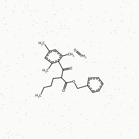 CCCCC(C(=O)OCc1ccccc1)C(=O)c1c(C)cc(C)cc1C.O=[PH3]